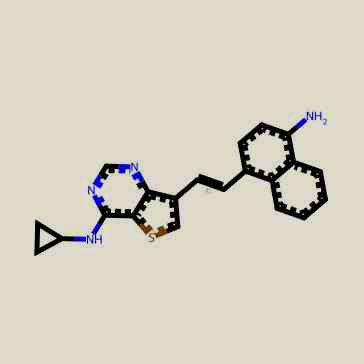 Nc1ccc(/C=C/c2csc3c(NC4CC4)ncnc23)c2ccccc12